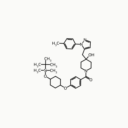 Cc1ccc(-n2nccc2CC2(O)CCN(C(=O)c3ccc(OC4CCC(O[Si](C)(C)C(C)(C)C)CC4)cc3)CC2)cc1